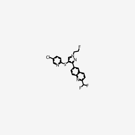 FCCn1cc(Sc2ccc(Cl)cn2)c(-c2ccc3nc(C(F)F)ccc3c2)n1